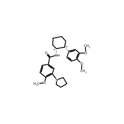 COc1ccc([C@H]2CCCC[C@H]2NC(=O)c2ccc(OC)c(N3CCCC3)c2)cc1OC